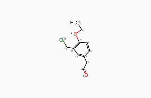 CCOc1ccc(CC=O)cc1CCl